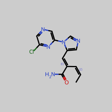 C/C=C\C(=C/c1cncn1-c1cncc(Cl)n1)C(N)=O